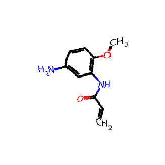 C=CC(=O)Nc1cc(N)ccc1OC